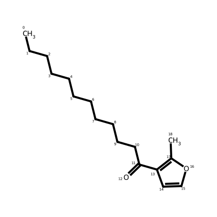 CCCCCCCCCCCC(=O)c1ccoc1C